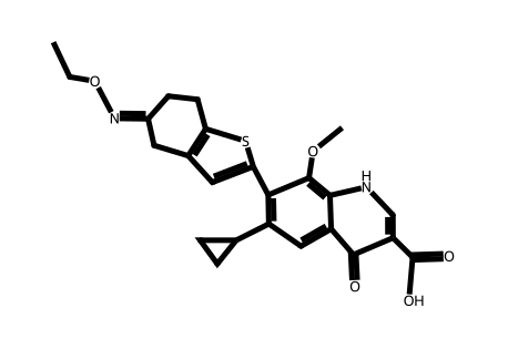 CCO/N=C1\CCc2sc(-c3c(C4CC4)cc4c(=O)c(C(=O)O)c[nH]c4c3OC)cc2C1